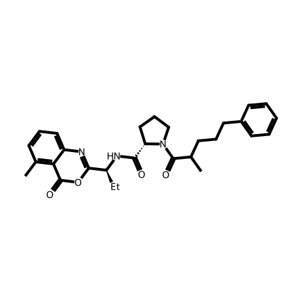 CC[C@H](NC(=O)[C@@H]1CCCN1C(=O)C(C)CCCc1ccccc1)c1nc2cccc(C)c2c(=O)o1